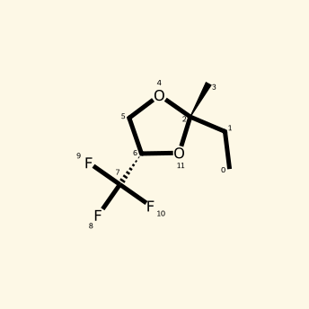 CC[C@@]1(C)OC[C@@H](C(F)(F)F)O1